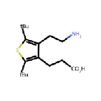 CC(C)(C)c1sc(C(C)(C)C)c(CCC(=O)O)c1CCN